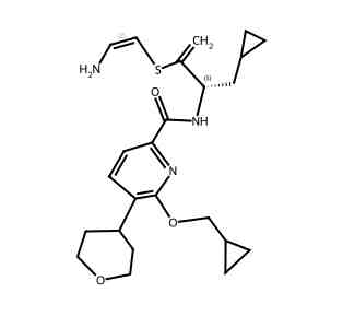 C=C(S/C=C\N)[C@H](CC1CC1)NC(=O)c1ccc(C2CCOCC2)c(OCC2CC2)n1